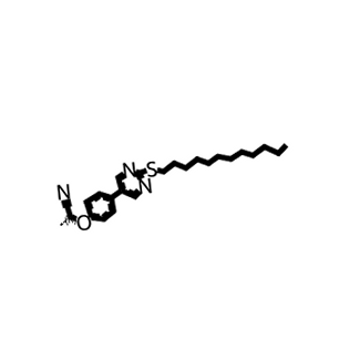 CCCCCCCCCCCCSc1ncc(-c2ccc(O[C@H](C)C#N)cc2)cn1